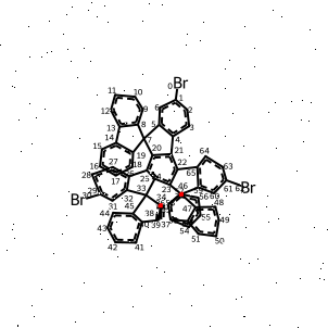 Brc1ccc2c(c1)C1(c3ccccc3-c3ccccc31)c1c-2c2c(c3c1-c1ccc(Br)cc1C31c3ccccc3-c3ccccc31)C1(c3ccccc3-c3ccccc31)c1cc(Br)ccc1-2